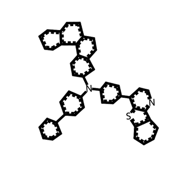 c1ccc(-c2ccc(N(c3ccc(-c4ccnc5c4sc4ccccc45)cc3)c3ccc4c(ccc5ccc6ccccc6c54)c3)cc2)cc1